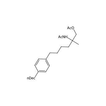 CCCCCCCCCCc1ccc(CCCCC(C)(COC(C)=O)NC(C)=O)cc1